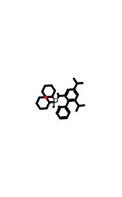 CC(C)c1cc(C(C)C)c2c(c1)C(C)P(C)(C1CCCCC1)(C1CCCCC1)c1ccccc1-2